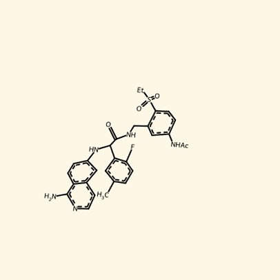 CCS(=O)(=O)c1ccc(NC(C)=O)cc1CNC(=O)C(Nc1ccc2c(N)nccc2c1)c1cc(C)ccc1F